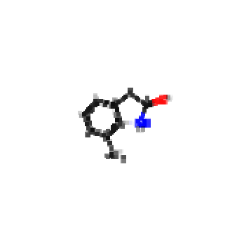 O=C1Cc2cccc(C(F)(F)F)c2N1